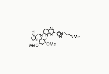 CNCCCn1cc(-c2cnc3ccc(N(Cc4ncc[nH]4)c4cc(OC)cc(OC)c4C)nc3n2)cn1